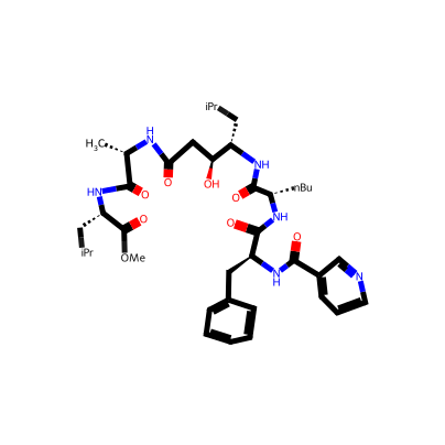 CCCC[C@H](NC(=O)[C@H](Cc1ccccc1)NC(=O)c1cccnc1)C(=O)N[C@@H](CC(C)C)[C@@H](O)CC(=O)N[C@@H](C)C(=O)N[C@@H](CC(C)C)C(=O)OC